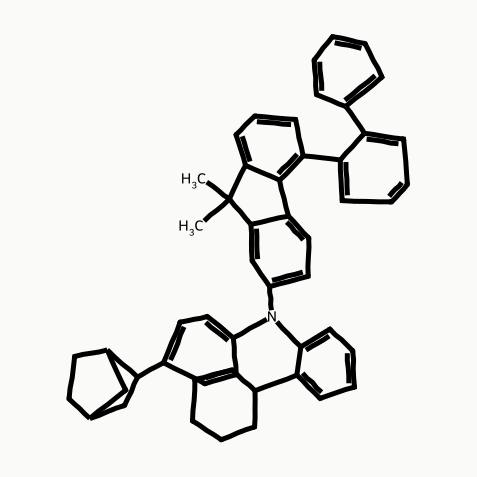 CC1(C)c2cc(N(c3ccc(C4CC5CCC4C5)cc3)c3ccccc3C3CCCCC3)ccc2-c2c(-c3ccccc3-c3ccccc3)cccc21